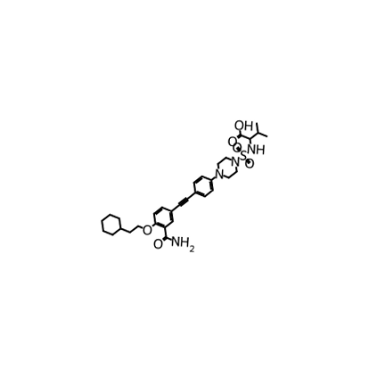 CC(C)C(NS(=O)(=O)N1CCN(c2ccc(C#Cc3ccc(OCCC4CCCCC4)c(C(N)=O)c3)cc2)CC1)C(=O)O